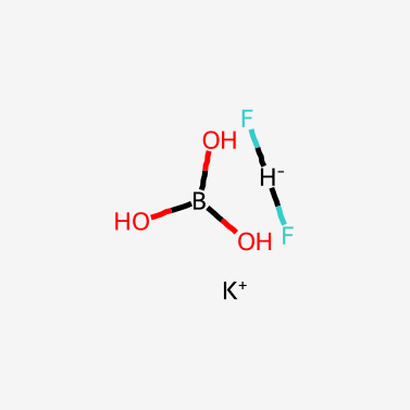 F[H-]F.OB(O)O.[K+]